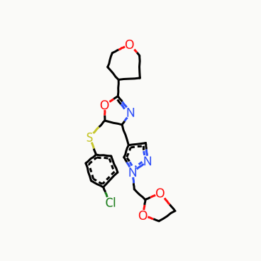 Clc1ccc(SC2OC(C3CCOCC3)=NC2c2cnn(CC3OCCO3)c2)cc1